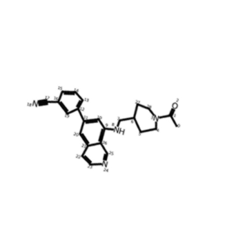 CC(=O)N1CCC(CNc2cc(-c3cccc(C#N)c3)cc3ccncc23)CC1